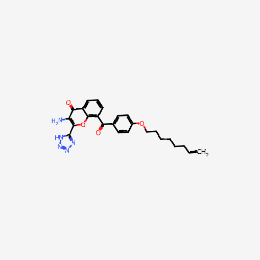 C=CCCCCCCOc1ccc(C(=O)c2cccc3c(=O)c(N)c(-c4nnn[nH]4)oc23)cc1